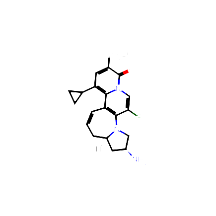 CCOC(=O)c1cc(C2CC2)c2c3c(c(F)cn2c1=O)N1C[C@@H](N)C[C@H]1CC=C3